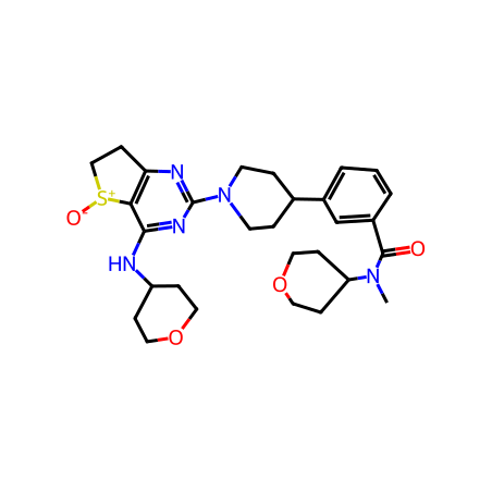 CN(C(=O)c1cccc(C2CCN(c3nc4c(c(NC5CCOCC5)n3)[S+]([O-])CC4)CC2)c1)C1CCOCC1